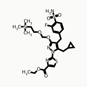 CCOC(=O)c1csc(-n2nc(OCOCC[Si](C)(C)C)c(Cc3ccc(S(N)(=O)=O)c(F)c3)c2CC2CC2)n1